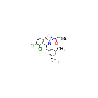 Cc1cc(C)cc(CC(N=C2SCCN2C(=O)CC(C)(C)C)c2cccc(Cl)c2Cl)c1